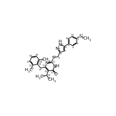 CSc1ccc(-c2cc(CSc3nc(Cc4c(C)cccc4C)c(C(C)C)c(=O)[nH]3)n[nH]2)cc1